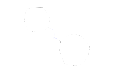 C1CCCCCCC(NNC2CCCCCCCCCC2)CCCCC1